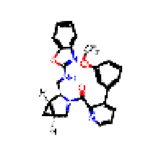 O=C(c1ncccc1-c1cccc(OC(F)(F)F)c1)N1C[C@H]2C[C@H]2[C@H]1CNc1nc2ccccc2o1